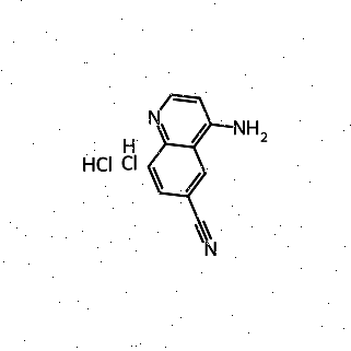 Cl.Cl.N#Cc1ccc2nccc(N)c2c1